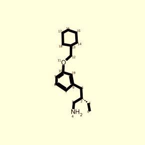 CC[C@H](CN)Cc1cccc(OCC2CCCCC2)c1